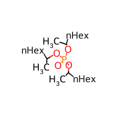 CCCCCCC(C)OP(=O)(OC(C)CCCCCC)OC(C)CCCCCC